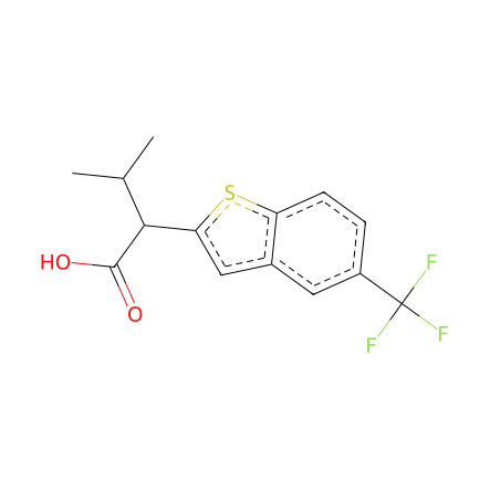 CC(C)C(C(=O)O)c1cc2cc(C(F)(F)F)ccc2s1